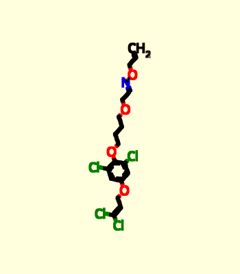 C=CCO/N=C/COCCCCOc1c(Cl)cc(OCC=C(Cl)Cl)cc1Cl